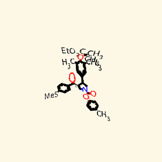 CCOC(=O)C(C)(C)Oc1c(C)cc(C2CN(C(=O)Oc3ccc(C)cc3)C[C@H]2C(=O)c2ccc(SC)cc2)cc1C